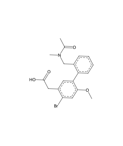 COc1cc(Br)c(CC(=O)O)cc1-c1ccccc1CN(C)C(C)=O